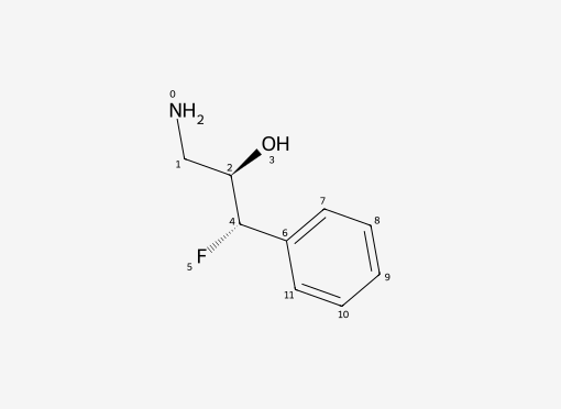 NC[C@@H](O)[C@@H](F)c1ccccc1